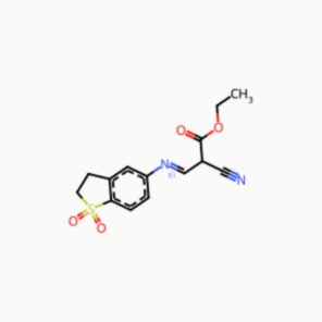 CCOC(=O)C(C#N)/C=N/c1ccc2c(c1)CCS2(=O)=O